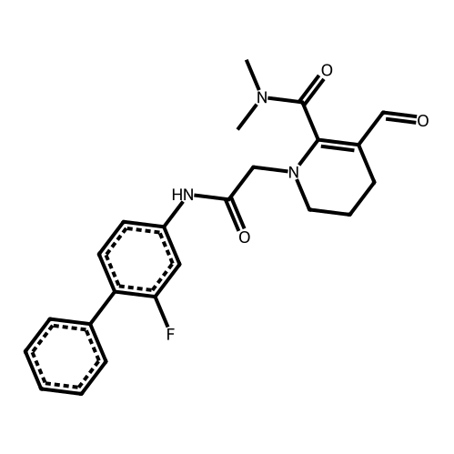 CN(C)C(=O)C1=C(C=O)CCCN1CC(=O)Nc1ccc(-c2ccccc2)c(F)c1